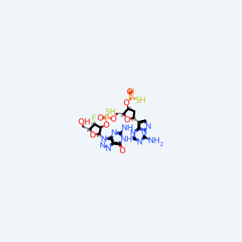 Nc1nc2c(nnn2[C@@H]2O[C@H](CO)[C@H](F)C2OP(=O)(S)OC[C@H]2O[C@@H](c3cnn4c(N)ncnc34)C[C@@H]2O[PH](=O)S)c(=O)[nH]1